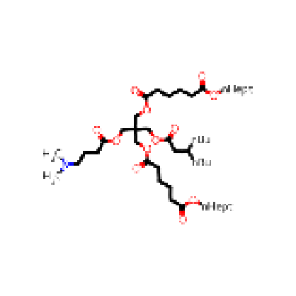 CCCCCCCOC(=O)CCCCC(=O)OCC(COC(=O)CCCCC(=O)OCCCCCCC)(COC(=O)CCCN(C)C)COC(=O)CC(CCCC)CCCC